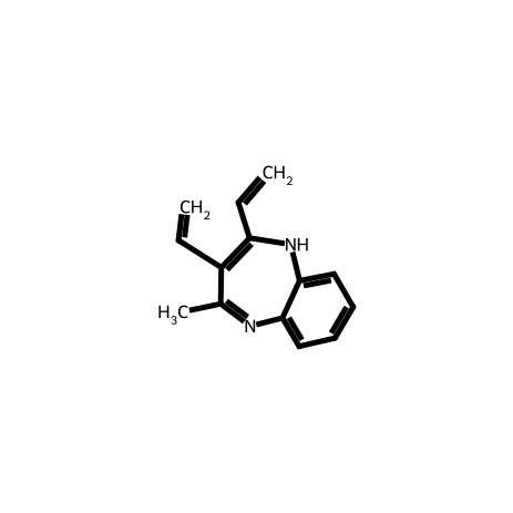 C=CC1=C(C=C)C(C)=Nc2ccccc2N1